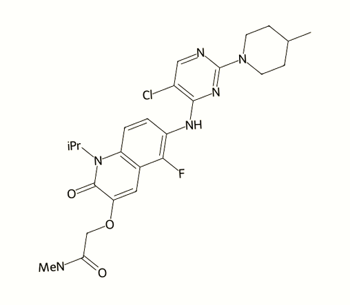 CNC(=O)COc1cc2c(F)c(Nc3nc(N4CCC(C)CC4)ncc3Cl)ccc2n(C(C)C)c1=O